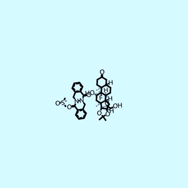 CC1(C)O[C@@H]2C[C@H]3[C@@H]4CC[C@H]5CC(=O)CC[C@]5(C)[C@@]4(F)[C@@H](O)C[C@]3(C)[C@]2(C(=O)CO)O1.C[S+](C)[O-].O=C1c2ccccc2CN2C(=O)c3ccccc3CN12